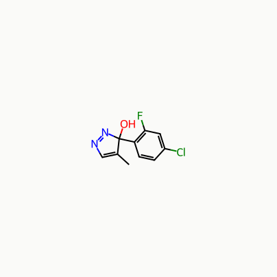 CC1=CN=NC1(O)c1ccc(Cl)cc1F